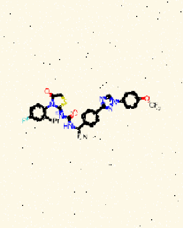 CC(C)c1cc(F)ccc1N1C(=O)CS/C1=N\C(=O)NC(C#N)c1ccc(-c2ncn(-c3ccc(OC(F)(F)F)cc3)n2)cc1